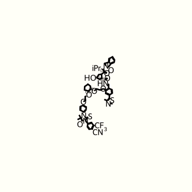 Cc1ncsc1-c1ccc(CNC(=O)[C@@H]2C[C@@H](O)CC2C(=O)[C@H](C(C)C)N2Cc3ccccc3C2=O)c(OCCO[C@@H]2CCCC[C@@H]2OCCOc2ccc(N3C(=S)N(c4ccc(C#N)c(C(F)(F)F)c4)C(=O)C3(C)C)cc2)c1